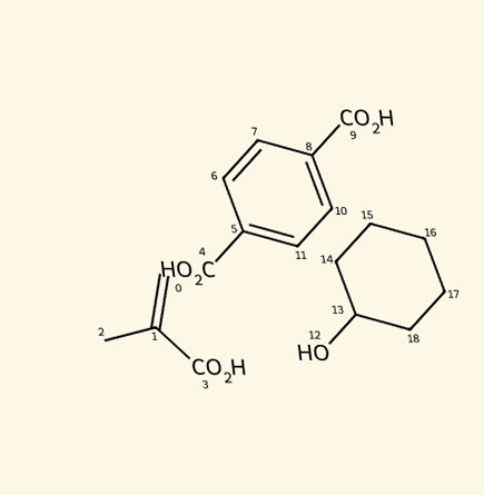 C=C(C)C(=O)O.O=C(O)c1ccc(C(=O)O)cc1.OC1CCCCC1